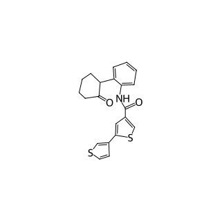 O=C(Nc1ccccc1C1CCCCC1=O)c1csc(-c2ccsc2)c1